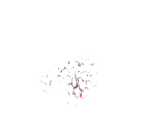 COc1cc2c(cc1OC)-c1c(N(CCn3c(=O)n4c(c/c3=N\c3c(C)cc(C)cc3C)-c3cc(OC)c(OC)cc3CC4)C(N)=O)c(=Nc3c(C)cc(C)cc3C)n(C[C@H](N)NC=O)c(=O)n1CC2